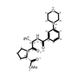 COC(=O)[C@@H]1CCCN1C(=O)[C@@H](NC(=O)c1cccc(N2CCOCC2)c1)C(C)C